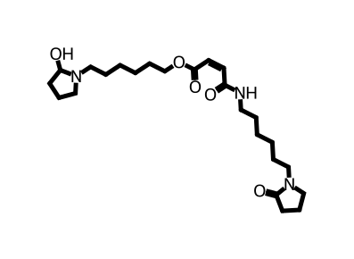 O=C(/C=C\C(=O)OCCCCCCN1CCCC1O)NCCCCCCN1CCCC1=O